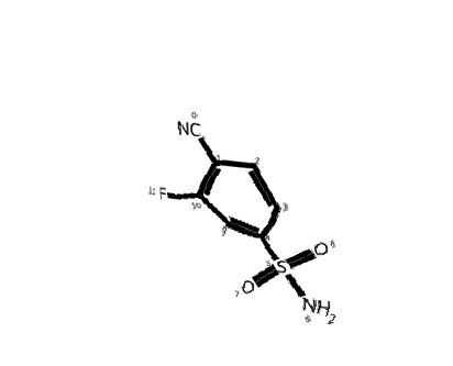 N#Cc1ccc(S(N)(=O)=O)cc1F